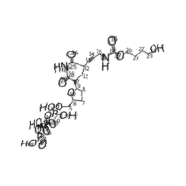 CP(O)(O)(OC[C@@H]1CC[C@H](C2CC(C#CCNC(=O)OCCCCO)C(=O)NC2=O)O1)OP(=O)(O)OP(=O)(O)O